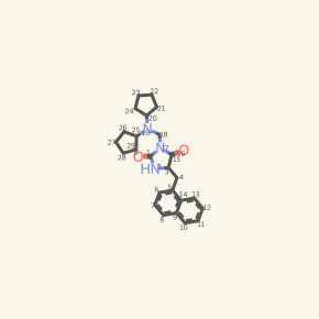 O=C1NC(Cc2cccc3ccccc23)C(=O)N1CN(C1CCCC1)C1CCCC1